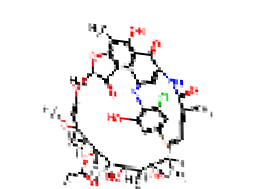 CO[C@H]1/C=C/O[C@@]2(C)Oc3c(C)c(O)c4c(c3C2=O)/C(=N/c2c(O)cc(Br)cc2Cl)C=C(NC(=O)/C(C)=C\C=C\[C@H](C)[C@H](O)[C@@H](C)[C@@H](O)[C@@H](C)[C@H](OC(C)=O)[C@@H]1C)C4=O